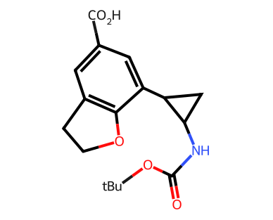 CC(C)(C)OC(=O)NC1CC1c1cc(C(=O)O)cc2c1OCC2